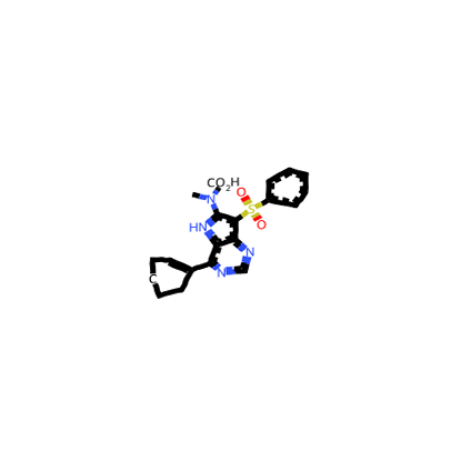 CN(C(=O)O)c1[nH]c2c(C3=CCCCC3)ncnc2c1S(=O)(=O)c1ccccc1